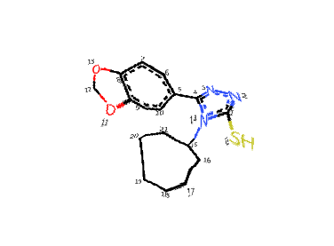 Sc1nnc(-c2ccc3c(c2)OCO3)n1C1CCCCCC1